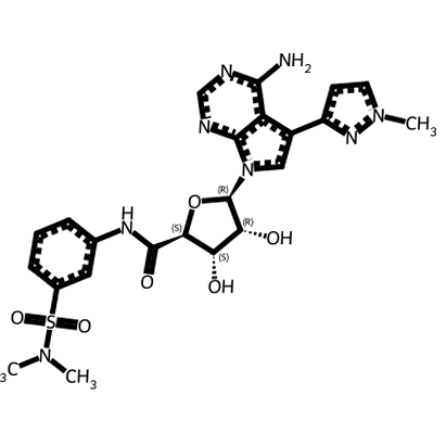 CN(C)S(=O)(=O)c1cccc(NC(=O)[C@H]2O[C@@H](n3cc(-c4ccn(C)n4)c4c(N)ncnc43)[C@H](O)[C@@H]2O)c1